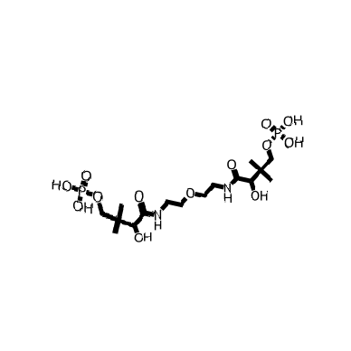 CC(C)(COP(=O)(O)O)C(O)C(=O)NCCOCCNC(=O)C(O)C(C)(C)COP(=O)(O)O